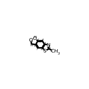 Cc1nc2cc3c(cc2s1)COO3